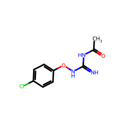 CC(=O)NC(=N)NOc1ccc(Cl)cc1